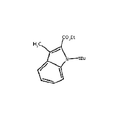 CCOC(=O)c1c(C)c2ccccc2n1C(C)(C)C